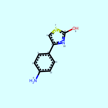 Nc1ccc(-c2csc(O)n2)cc1